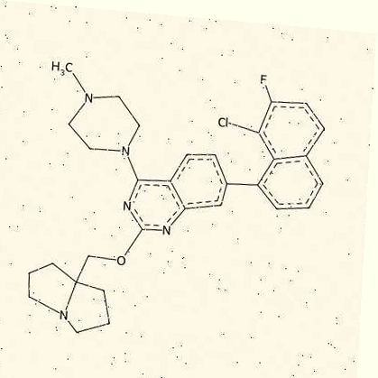 CN1CCN(c2nc(OCC34CCCN3CCC4)nc3cc(-c4cccc5ccc(F)c(Cl)c45)ccc23)CC1